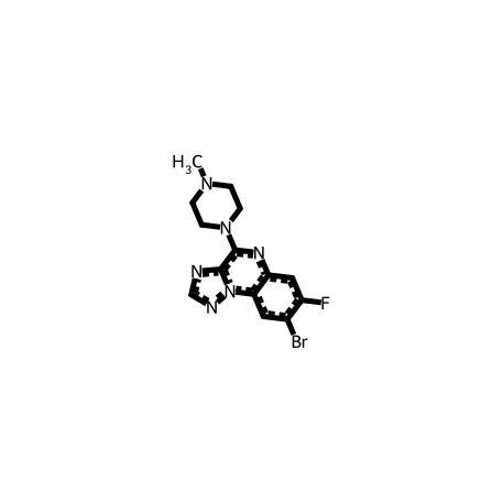 CN1CCN(c2nc3cc(F)c(Br)cc3n3ncnc23)CC1